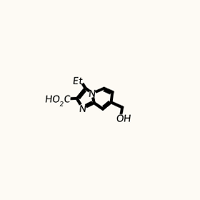 CCc1c(C(=O)O)nc2cc(CO)ccn12